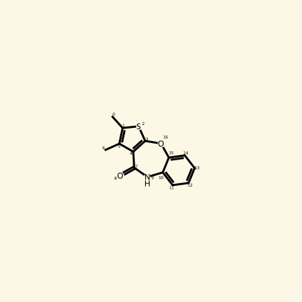 Cc1sc2c(c1C)C(=O)Nc1ccccc1O2